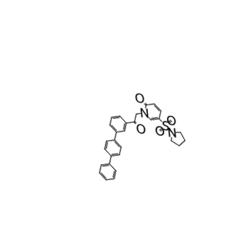 O=C(Cn1cc(S(=O)(=O)N2CCCC2)ccc1=O)c1cccc(-c2ccc(-c3ccccc3)cc2)c1